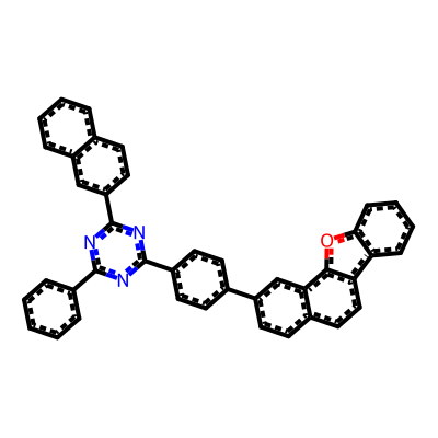 c1ccc(-c2nc(-c3ccc(-c4ccc5ccc6c7ccccc7oc6c5c4)cc3)nc(-c3ccc4ccccc4c3)n2)cc1